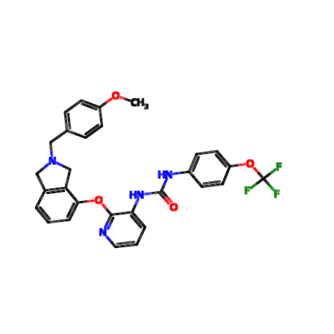 COc1ccc(CN2Cc3cccc(Oc4ncccc4NC(=O)Nc4ccc(OC(F)(F)F)cc4)c3C2)cc1